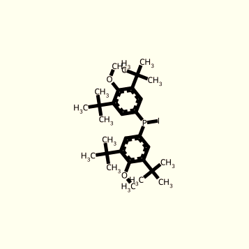 COc1c(C(C)(C)C)cc(P(I)c2cc(C(C)(C)C)c(OC)c(C(C)(C)C)c2)cc1C(C)(C)C